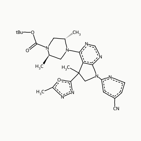 Cc1nnc(C2(C)CN(c3cc(C#N)ccn3)c3ncnc(N4C[C@@H](C)N(C(=O)OC(C)(C)C)C[C@@H]4C)c32)o1